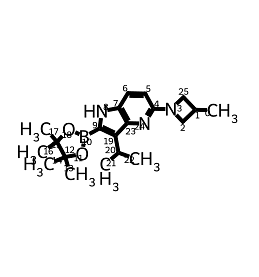 CC1CN(c2ccc3[nH]c(B4OC(C)(C)C(C)(C)O4)c(C(C)C)c3n2)C1